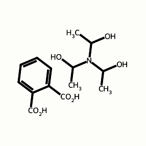 CC(O)N(C(C)O)C(C)O.O=C(O)c1ccccc1C(=O)O